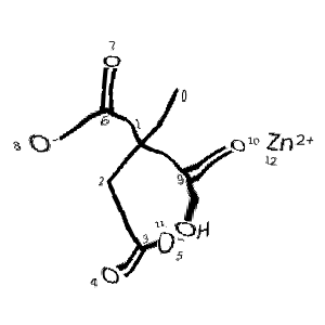 CC(CC(=O)[O-])(C(=O)[O-])C(=O)O.[Zn+2]